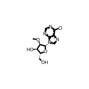 CO[C@@H]1[C@H](O)[C@@H](CO)O[C@H]1n1cnc2c(Cl)ncnc21